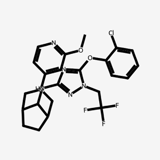 COc1cc(N2CC3CCC(C2)C3Nc2nc(Oc3ccccc3Cl)n(CC(F)(F)F)n2)ccn1